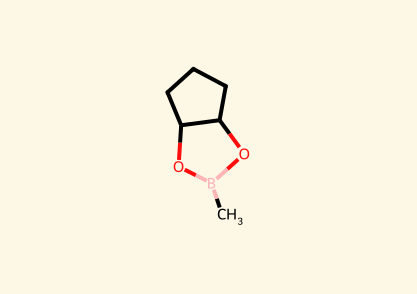 CB1OC2CCCC2O1